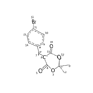 CC1(C)OC(=O)[C-]([I+]c2ccc(Br)cc2)C(=O)O1